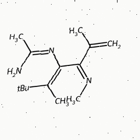 C=C(C)C(=N/C)/C(/N=C(/C)N)=C(\C)C(C)(C)C